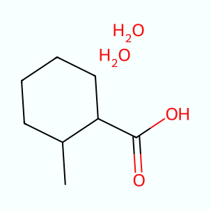 CC1CCCCC1C(=O)O.O.O